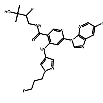 CC(C)(O)C(F)CNC(=O)c1cnc(-n2cnc3cc(Cl)cnc32)cc1Nc1cnn(CCCF)c1